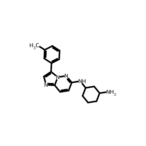 Cc1cccc(-c2cnc3ccc(NC4CCCC(N)C4)nn23)c1